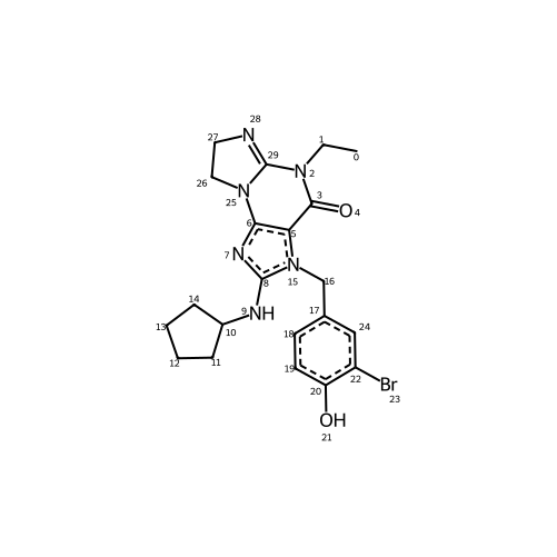 CCN1C(=O)c2c(nc(NC3CCCC3)n2Cc2ccc(O)c(Br)c2)N2CCN=C12